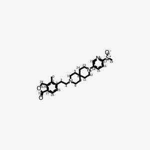 Cc1c(CCN2CCC3(CC2)CCN(c2ccc([S+](C)[O-])nc2)CC3)ccc2c1COC2=O